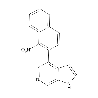 O=[N+]([O-])c1c(-c2cncc3[nH]ccc23)ccc2ccccc12